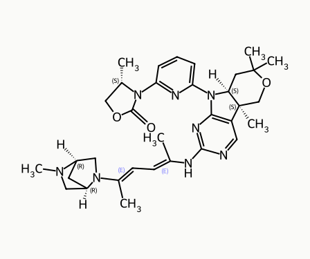 C/C(=C\C=C(/C)N1C[C@H]2C[C@@H]1CN2C)Nc1ncc2c(n1)N(c1cccc(N3C(=O)OC[C@@H]3C)n1)[C@H]1CC(C)(C)OC[C@@]21C